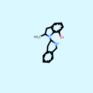 O=C(O)C1Cc2cccc(O)c2N1C1Cc2ccccc2CN1